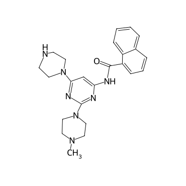 CN1CCN(c2nc(NC(=O)c3cccc4ccccc34)cc(N3CCNCC3)n2)CC1